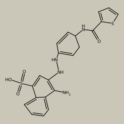 Nc1c(NNC2=CCC(NC(=O)c3cccs3)C=C2)cc(S(=O)(=O)O)c2ccccc12